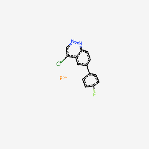 Fc1ccc(-c2ccc3nncc(Cl)c3c2)cc1.[P+5]